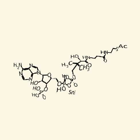 CC(=O)SCCNC(=O)CCNC(=O)[C@H](O)C(C)(C)COP(=O)(O)OP(=O)(O)OC[C@H]1O[C@@H](n2cnc3c(N)ncnc32)[C@H](O)[C@@H]1OP(=O)(O)O.[Sn]